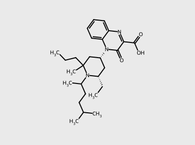 CCCC1(C)C[C@H](n2c(=O)c(C(=O)O)nc3ccccc32)C[C@H](CC)N1C(C)CCC(C)C